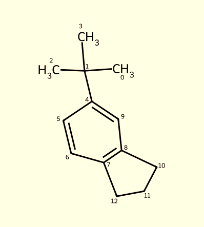 CC(C)(C)c1ccc2c(c1)CCC2